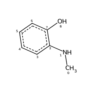 CNc1cc[c]cc1O